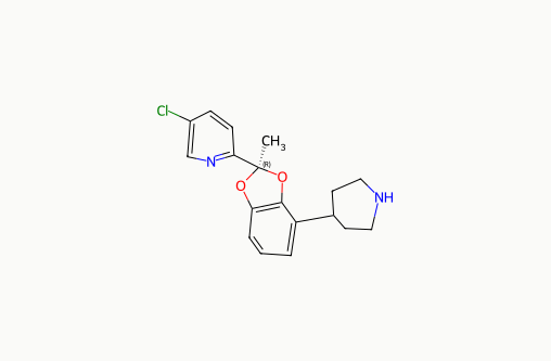 C[C@@]1(c2ccc(Cl)cn2)Oc2cccc(C3CCNCC3)c2O1